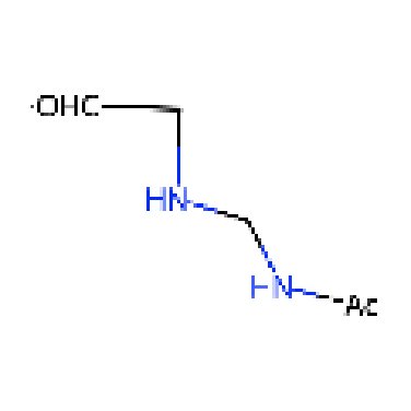 CC(=O)NCNC[C]=O